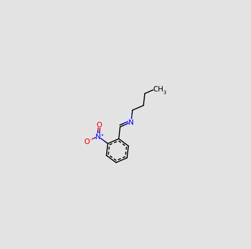 CCCC/N=C/c1ccccc1[N+](=O)[O-]